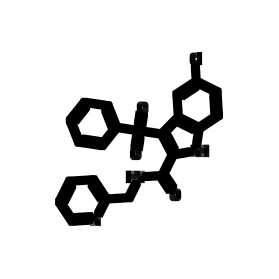 O=C(NCc1ccccn1)c1[nH]c2ccc(Cl)cc2c1S(=O)(=O)c1ccccc1